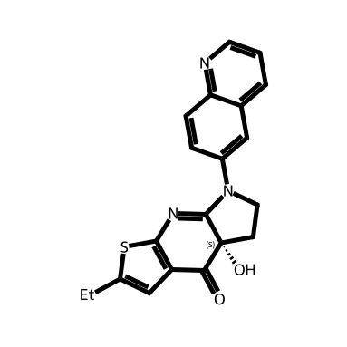 CCc1cc2c(s1)N=C1N(c3ccc4ncccc4c3)CC[C@@]1(O)C2=O